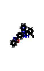 CC1(C(c2ccccc2)c2ccccc2)Nc2ccc(-c3nc4ccccc4o3)cc2N1